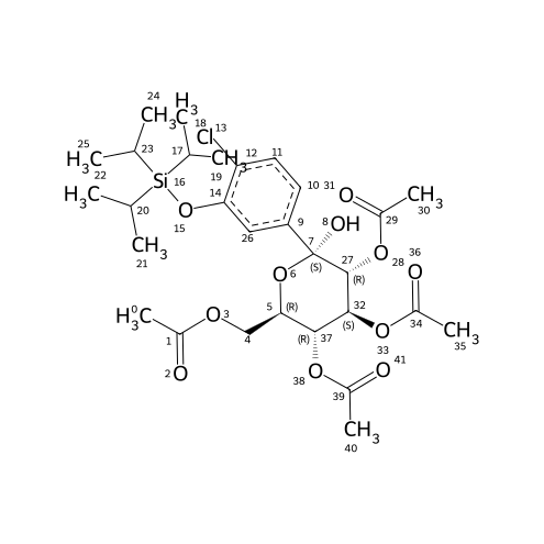 CC(=O)OC[C@H]1O[C@@](O)(c2ccc(Cl)c(O[Si](C(C)C)(C(C)C)C(C)C)c2)[C@H](OC(C)=O)[C@@H](OC(C)=O)[C@@H]1OC(C)=O